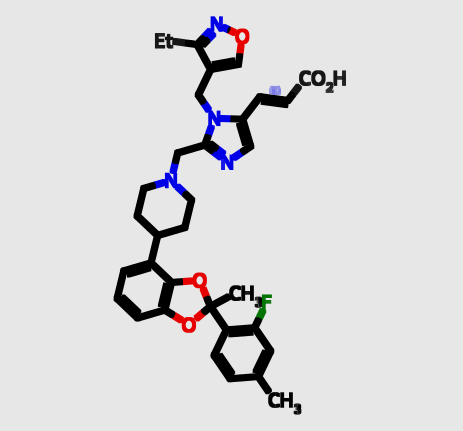 CCc1nocc1Cn1c(/C=C/C(=O)O)cnc1CN1CCC(c2cccc3c2OC(C)(c2ccc(C)cc2F)O3)CC1